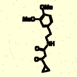 COc1ccc(CCNC(=O)CC(=O)C2CC2)cc1OC